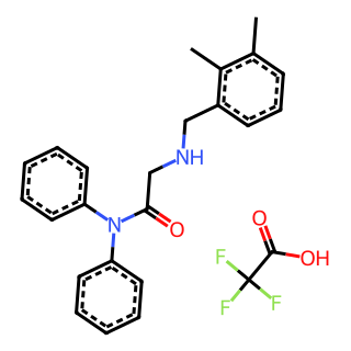 Cc1cccc(CNCC(=O)N(c2ccccc2)c2ccccc2)c1C.O=C(O)C(F)(F)F